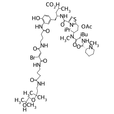 CC[C@H](C)[C@H](NC(=O)[C@H]1CCCCN1C)C(=O)N(C)C(C[C@@H](OC(C)=O)c1nc(C(=O)N[C@@H](Cc2ccc(O)c(NC(=O)CCCNC(=O)/C=C(\Br)C(=O)NCCCC(=O)NCCC(C)(C)OCC(C)(C)O)c2)CC(C)C(=O)O)cs1)C(C)C